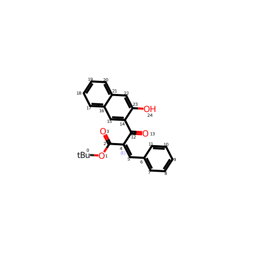 CC(C)(C)OC(=O)/C(=C/c1ccccc1)C(=O)c1cc2ccccc2cc1O